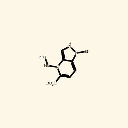 CCCCNN1C(C(=O)OCC)=CC=C2C1=CNN2CC